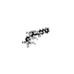 CC(=N)/C(CCC(=O)N1CCC(Cc2ccccn2)CC1)=C(/C)Nc1ccc(=N)n(C(C)=N)n1